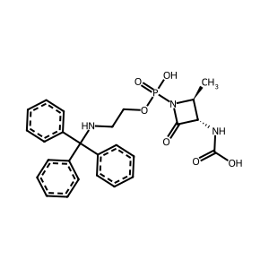 C[C@H]1[C@H](NC(=O)O)C(=O)N1P(=O)(O)OCCNC(c1ccccc1)(c1ccccc1)c1ccccc1